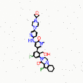 Cn1cc(-c2cc(F)cc(N3CCn4c5c(c(F)c4C3=O)CCCC5)c2CO)cc(Nc2ccc(N3CCN(C4COC4)CC3)cn2)c1=O